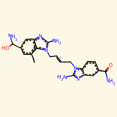 Cc1cc(C(N)O)cc2nc(N)n(C/C=C/Cn3c(N)nc4cc(C(N)=O)ccc43)c12